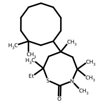 CCC1(C)CC(C)(C2CCCCCCCC(C)(C)C2)CC(C)(C)N(C)C(=O)S1